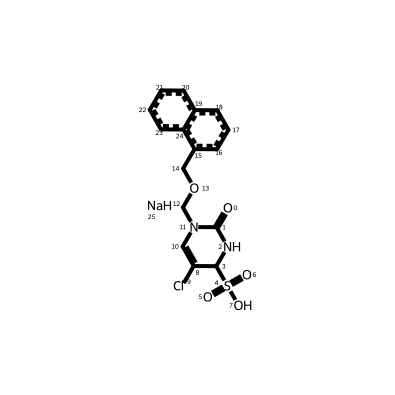 O=C1NC(S(=O)(=O)O)C(Cl)=CN1COCc1cccc2ccccc12.[NaH]